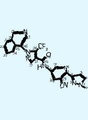 Cn1ccc(-c2ncc(NC(=O)c3cnn(-c4cncc5ccccc45)c3C(F)(F)F)cc2C#N)n1